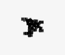 Nc1ccn([C@]2(CO)O[C@H](CO)[C@@H](O)[C@H]2O)c(=O)n1.O=P(O)(O)O